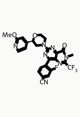 COc1cc([C@@H]2CN(c3nc(-c4ccc(C#N)cc4F)c4nc(C(F)(F)F)n(C)c(=O)c4n3)CCO2)ccn1